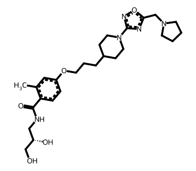 Cc1cc(OCCCC2CCN(c3noc(CN4CCCC4)n3)CC2)ccc1C(=O)NC[C@H](O)CO